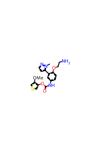 COc1cscc1OC(=O)Nc1ccc(OCCN)c(-c2ccnn2C)c1